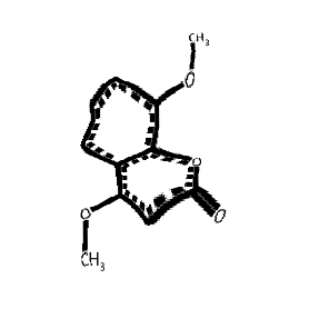 COc1cc(=O)oc2c(OC)cccc12